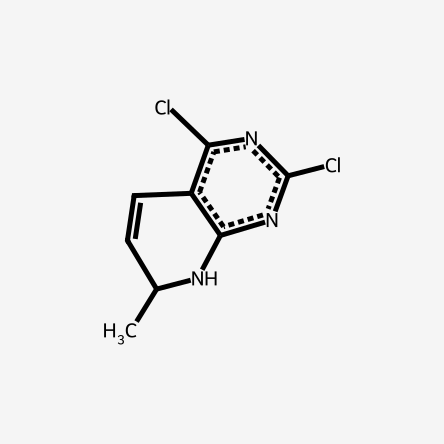 CC1C=Cc2c(Cl)nc(Cl)nc2N1